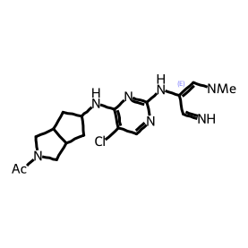 CN/C=C(\C=N)Nc1ncc(Cl)c(NC2CC3CN(C(C)=O)CC3C2)n1